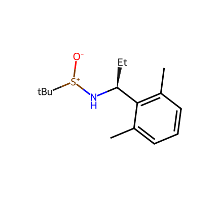 CC[C@H](N[S+]([O-])C(C)(C)C)c1c(C)cccc1C